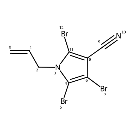 C=CCn1c(Br)c(Br)c(C#N)c1Br